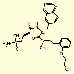 CN(CCc1ccccc1OCCO)C(=O)[C@@H](Cc1ccc2ccccc2c1)NC(=O)C=CCC(C)(C)N